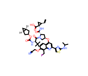 C=C[C@@H]1C[C@]1(NC(=O)[C@@H]1C[C@@H](Oc2cc(-c3csc(NC(C)C)n3)nc3c(CI)c(OCC#N)ccc23)CN1C(=O)[C@@H](NC(=O)O[C@@H]1C[C@@H]2C[C@@H]2C1)C(C)(C)C)C(=O)O